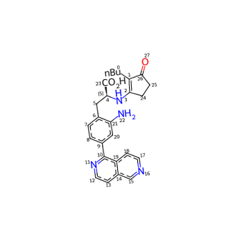 CCCCC1=C(N[C@@H](Cc2ccc(-c3nccc4cnccc34)cc2N)C(=O)O)CCC1=O